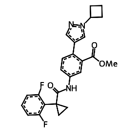 COC(=O)c1cc(NC(=O)C2(c3c(F)cccc3F)CC2)ccc1-c1cnn(C2CCC2)c1